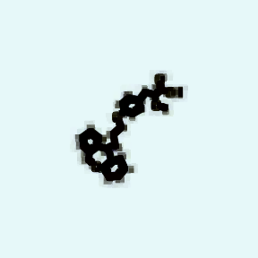 COC(Cc1ccc(OCC/C=C2\c3ccccc3COc3ccccc32)cc1)C(=O)O